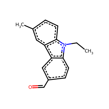 CCn1c2ccc(C)cc2c2cc(C=O)ccc21